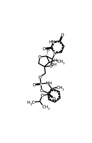 CC(C)OC(=O)[C@H](C)NP(=O)(OCC12CO[C@H]([C@@H]1O)[C@@](C)(n1ccc(=O)[nH]c1=O)O2)Oc1ccccc1